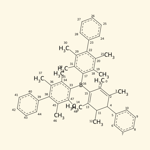 CC1=C(C)C(c2ccccc2)C(C)C(C)=C1B(c1c(C)c(C)c(-c2ccccc2)c(C)c1C)c1c(C)c(C)c(-c2ccccc2)c(C)c1C